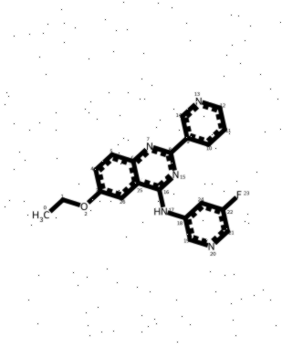 CCOc1ccc2nc(-c3cccnc3)nc(Nc3cncc(F)c3)c2c1